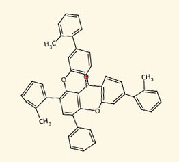 Cc1ccccc1-c1ccc2c(c1)Oc1c(-c3ccccc3)cc(-c3ccccc3C)c3c1P2(=O)c1ccc(-c2ccccc2C)cc1O3